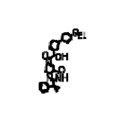 CCOc1ccc(-c2cccc(C(O)C(=O)N3CCc4nc(C5(c6ccccc6)CC5)[nH]c(=O)c4C3)c2)cc1